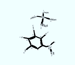 CCCCCCCC[CH2][Al-]([CH2]CCCCCCCC)([CH2]CCCCCCCC)[CH2]CCCCCCCC.CC[PH+](C)c1cc(F)c(F)c(F)c1F